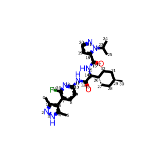 Cc1n[nH]c(C)c1-c1ccc(NC(=O)[C@@H](NC(=O)c2ccnn2C(C)C)[C@H]2CC[C@H](C)CC2)nc1F